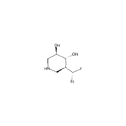 CC[C@@H](F)[C@H]1CNC[C@@H](O)[C@@H]1O